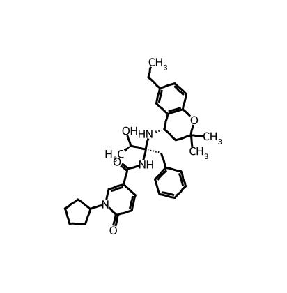 CCc1ccc2c(c1)[C@@H](N[C@@](Cc1ccccc1)(NC(=O)c1ccc(=O)n(C3CCCC3)c1)[C@@H](C)O)CC(C)(C)O2